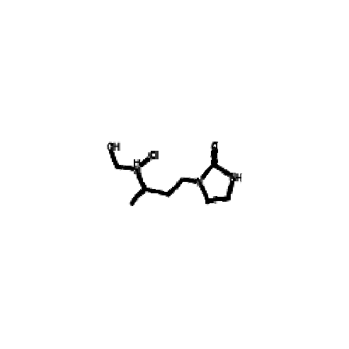 CC(CCN1CCNC1=O)[SiH](Cl)CO